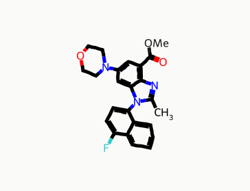 COC(=O)c1cc(N2CCOCC2)cc2c1nc(C)n2-c1ccc(F)c2ccccc12